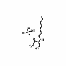 CCCCCCCNC(CO)C(N)=O.O=P(O)(O)O